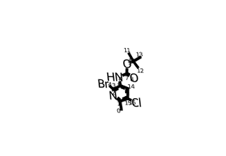 Cc1nc(Br)c(NC(=O)OC(C)(C)C)cc1Cl